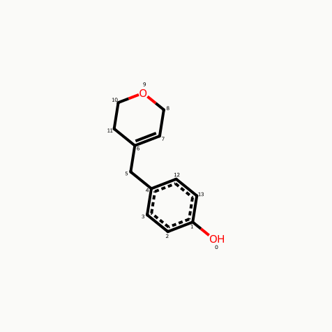 Oc1ccc(CC2=CCOCC2)cc1